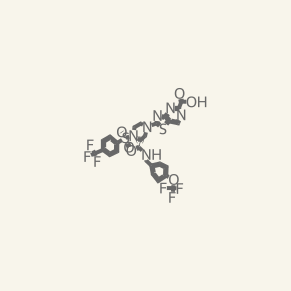 O=C(O)c1ncc2sc(N3CCN(S(=O)(=O)c4ccc(C(F)(F)F)cc4)[C@@H](C(=O)NCc4ccc(OC(F)(F)F)cc4)C3)nc2n1